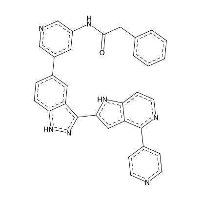 O=C(Cc1ccccc1)Nc1cncc(-c2ccc3[nH]nc(-c4cc5c(-c6ccncc6)nccc5[nH]4)c3c2)c1